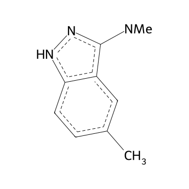 CNc1n[nH]c2ccc(C)cc12